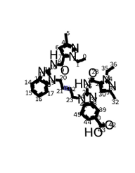 CCn1nc(C)cc1C(=O)Nc1nc2ccccc2n1C/C=C/Cn1c(NC(=O)c2cc(C)nn2CC)nc2cc(C(=O)O)ccc21